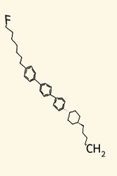 C=CCCC[C@H]1CC[C@H](c2ccc(-c3ccc(-c4ccc(CCCCCCCF)cc4)cc3)cc2)CC1